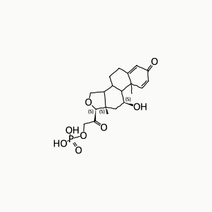 CC12C=CC(=O)C=C1CCC1C2[C@@H](O)C[C@@]2(C)C1CO[C@@H]2C(=O)COP(=O)(O)O